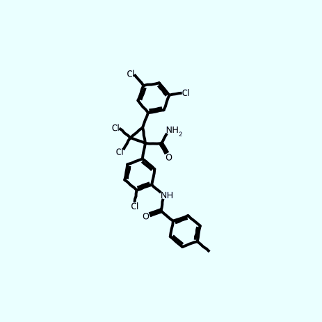 Cc1ccc(C(=O)Nc2cc(C3(C(N)=O)C(c4cc(Cl)cc(Cl)c4)C3(Cl)Cl)ccc2Cl)cc1